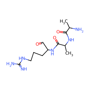 CC(N)C(=O)NC(C)C(=O)NC(C=O)CCCNC(=N)N